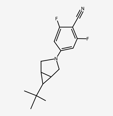 CC(C)(C)C1C2CN(c3cc(F)c(C#N)c(F)c3)CC21